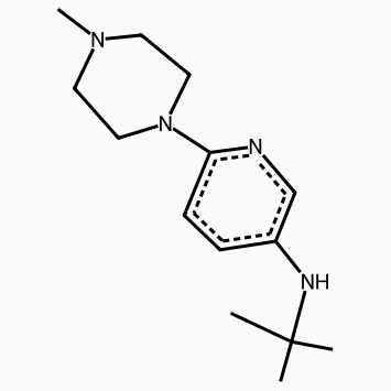 CN1CCN(c2ccc(NC(C)(C)C)cn2)CC1